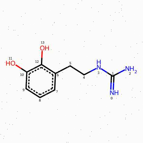 N=C(N)NCCc1cccc(O)c1O